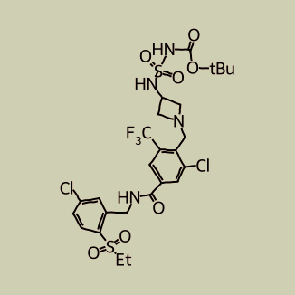 CCS(=O)(=O)c1ccc(Cl)cc1CNC(=O)c1cc(Cl)c(CN2CC(NS(=O)(=O)NC(=O)OC(C)(C)C)C2)c(C(F)(F)F)c1